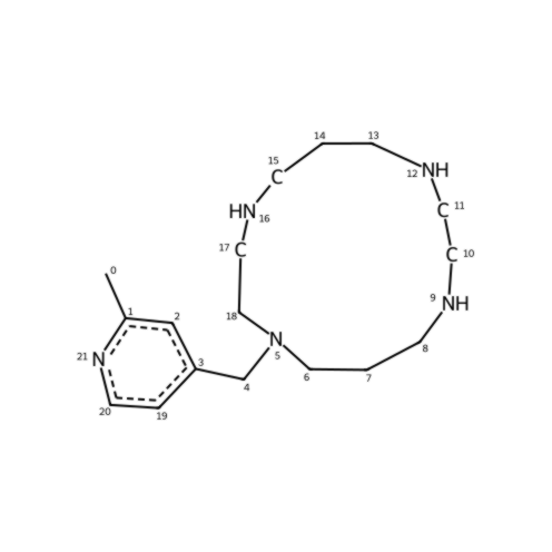 Cc1cc(CN2CCCNCCNCCCNCC2)ccn1